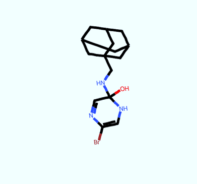 OC1(NCC23CC4CC(CC(C4)C2)C3)C=NC(Br)=CN1